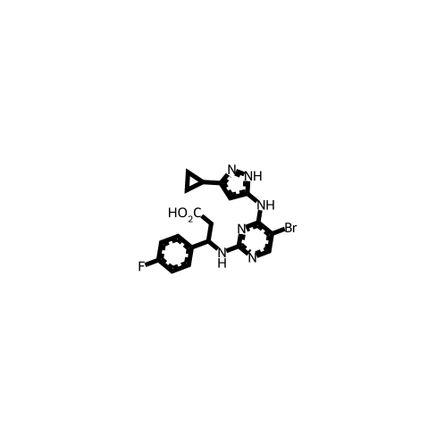 O=C(O)CC(Nc1ncc(Br)c(Nc2cc(C3CC3)n[nH]2)n1)c1ccc(F)cc1